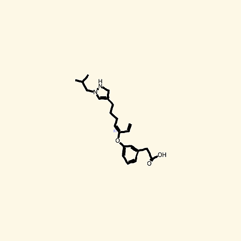 C=C/C(=C\CCCC1=CN(CC(C)C)NC1)Oc1cccc(CC(=O)O)c1